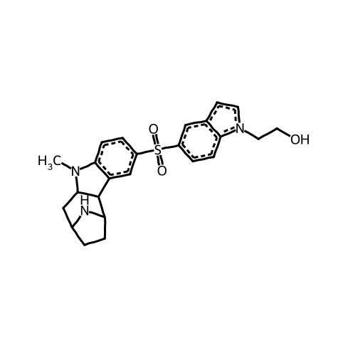 CN1c2ccc(S(=O)(=O)c3ccc4c(ccn4CCO)c3)cc2C2C3CCC(CC21)N3